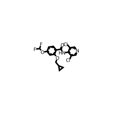 O=C(Nc1c(Cl)cncc1Cl)c1ccc(OC(F)F)cc1OCC1CC1